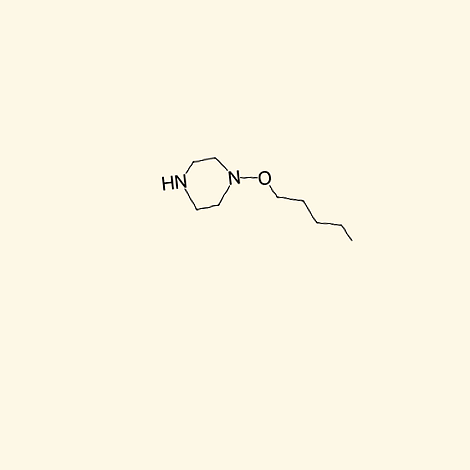 CCCCCON1CCNCC1